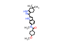 COC1CCC(C(=O)N(C)c2ccc3cc(-c4n[nH]c5c4CCC(C)(C)C5)[nH]c3c2)CC1